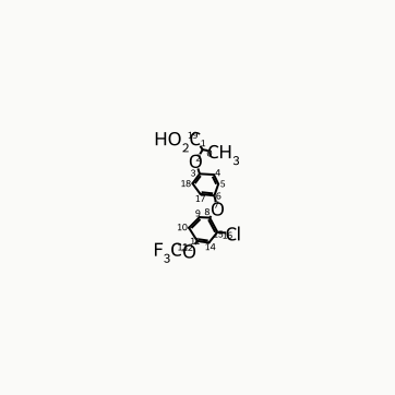 CC(Oc1ccc(Oc2ccc(OC(F)(F)F)cc2Cl)cc1)C(=O)O